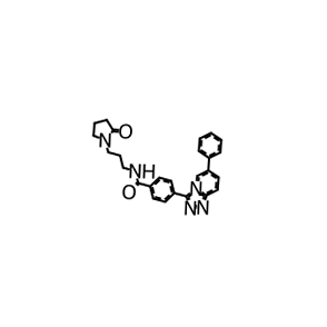 O=C(NCCCN1CCCC1=O)c1ccc(-c2nnc3ccc(-c4ccccc4)cn23)cc1